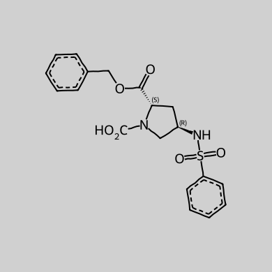 O=C(OCc1ccccc1)[C@@H]1C[C@@H](NS(=O)(=O)c2ccccc2)CN1C(=O)O